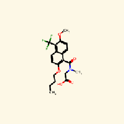 CCCCOc1ccc2c(C(F)(F)F)c(OC)ccc2c1C(=O)N(C)CC(=O)O